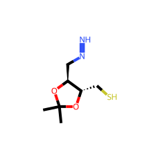 CC1(C)O[C@@H](CS)[C@H](CN=N)O1